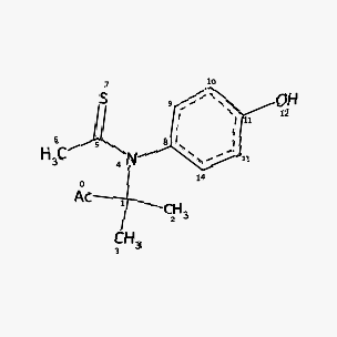 CC(=O)C(C)(C)N(C(C)=S)c1ccc(O)cc1